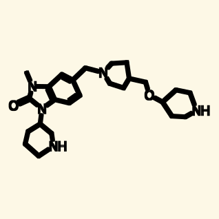 Cn1c(=O)n(C2CCCNC2)c2ccc(CN3CCC(COC4CCNCC4)CC3)cc21